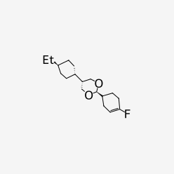 CC[C@H]1CC[C@H]([C@H]2CO[C@H](C3CC=C(F)CC3)OC2)CC1